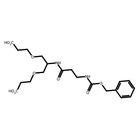 O=C(O)CCOCC(COCCC(=O)O)NC(=O)CCNC(=O)OCc1ccccc1